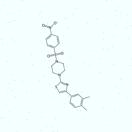 Cc1ccc(-c2csc(N3CCN(S(=O)(=O)c4ccc([N+](=O)[O-])cc4)CC3)n2)cc1C